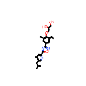 CCc1cc(-c2noc(-c3cc(C)c(CC(C)C)cn3)n2)cc(C)c1OCC(O)CO